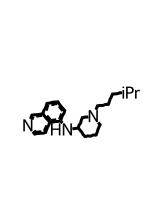 CC(C)CCCN1CCCC(Nc2cccc3cnccc23)C1